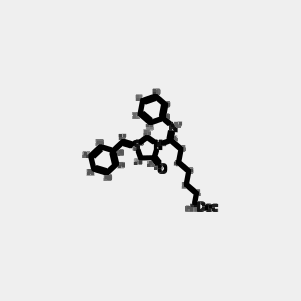 CCCCCCCCCCCCCCCC(=Nc1ccccc1)N1CS(=Cc2ccccc2)CC1=O